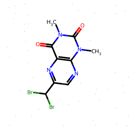 Cn1c(=O)c2nc(C(Br)Br)cnc2n(C)c1=O